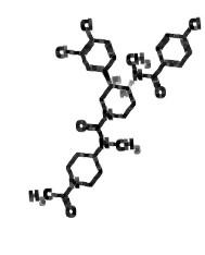 CC(=O)N1CCC(N(C)C(=O)N2CC[C@@H](N(C)C(=O)c3ccc(Cl)cc3)[C@H](c3ccc(Cl)c(Cl)c3)C2)CC1